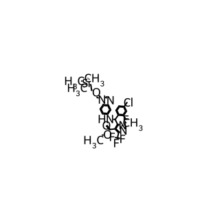 CCOC(=O)c1c(C(F)(F)F)nn(C)c1C(Nc1ccc2c(c1)ncn2COCC[Si](C)(C)C)c1ccc(Cl)cc1F